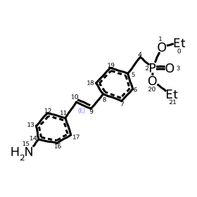 CCOP(=O)(Cc1ccc(/C=C/c2ccc(N)cc2)cc1)OCC